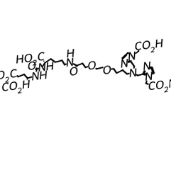 O=C(O)CC[C@H](NC(=O)N[C@@H](CCCCNC(=O)CCOCCOCCCCN(Cc1nccn1CC(=O)O)Cc1nccn1CC(=O)O)C(=O)O)C(=O)O